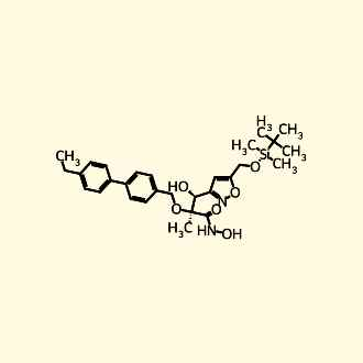 CCc1ccc(-c2ccc(CO[C@](C)(C(=O)NO)[C@@H](O)c3cc(CO[Si](C)(C)C(C)(C)C)on3)cc2)cc1